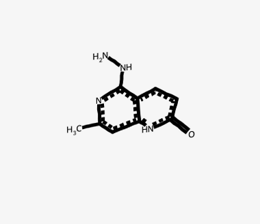 Cc1cc2[nH]c(=O)ccc2c(NN)n1